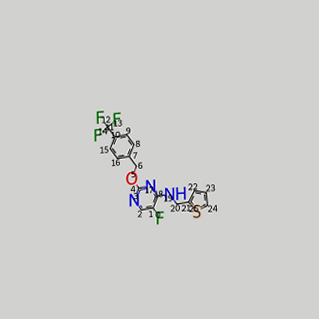 Fc1cnc(OCc2ccc(C(F)(F)F)cc2)nc1NCc1cccs1